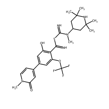 CN(C(=N)SC(=N)c1c(O)cc(-c2ccn(C)c(=O)c2)cc1OC(F)(F)F)C1CC(C)(C)NC(C)(C)C1